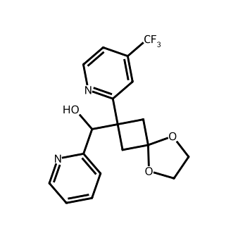 OC(c1ccccn1)C1(c2cc(C(F)(F)F)ccn2)CC2(C1)OCCO2